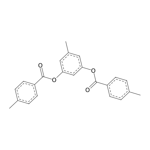 Cc1ccc(C(=O)Oc2cc(C)cc(OC(=O)c3ccc(C)cc3)c2)cc1